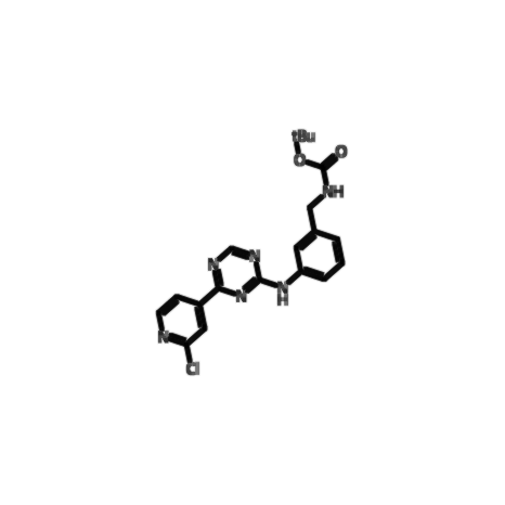 CC(C)(C)OC(=O)NCc1cccc(Nc2ncnc(-c3ccnc(Cl)c3)n2)c1